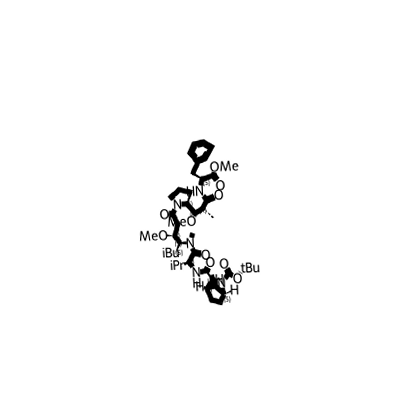 CC[C@H](C)[C@@H]([C@@H](CC(=O)N1CCC[C@H]1[C@H](OC)[C@@H](C)C(=O)N[C@@H](Cc1ccccc1)C(=O)OC)OC)N(C)C(=O)[C@@H](NC(=O)[C@@H]1[C@H]2CC[C@@H]([C@H]2C)N1C(=O)OC(C)(C)C)C(C)C